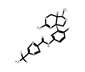 CC(F)(F)c1cnc(C(=O)Nc2ccc(F)c([C@]34CO[C@H](C(F)(F)F)[C@H]3CSC(N)=N4)c2)cn1